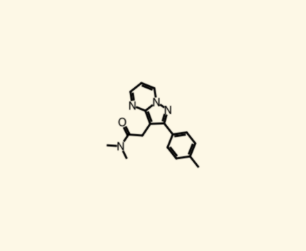 Cc1ccc(-c2nn3cccnc3c2CC(=O)N(C)C)cc1